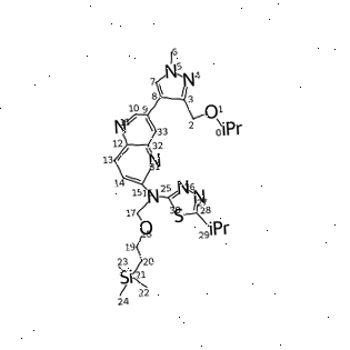 CC(C)OCc1nn(C)cc1-c1cnc2ccc(N(COCC[Si](C)(C)C)c3nnc(C(C)C)s3)nc2c1